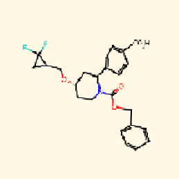 O=C(O)c1ccc([C@@H]2C[C@@H](OCC3CC3(F)F)CCN2C(=O)OCc2ccccc2)cc1